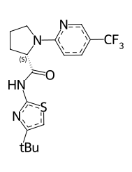 CC(C)(C)c1csc(NC(=O)[C@@H]2CCCN2c2ccc(C(F)(F)F)cn2)n1